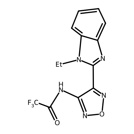 CCn1c(-c2nonc2NC(=O)C(F)(F)F)nc2ccccc21